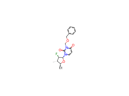 CC[C@@H]1O[C@H](n2ccc(=O)n(COCc3ccccc3)c2=O)[C@H](F)[C@H]1C